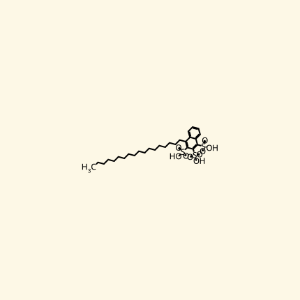 CCCCCCCCCCCCCCCCCCc1c(S(=O)(=O)O)c(S(=O)(=O)O)c(S(=O)(=O)O)c2ccccc12